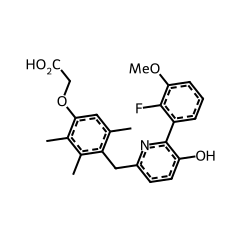 COc1cccc(-c2nc(Cc3c(C)cc(OCC(=O)O)c(C)c3C)ccc2O)c1F